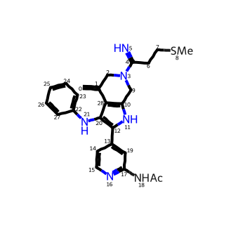 C=C1CN(C(=N)CCSC)Cc2[nH]c(-c3ccnc(NC(C)=O)c3)c(Nc3ccccc3)c21